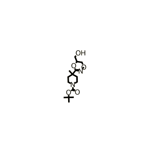 CC(C)(C)OC(=O)N1CCC(C)(C2=NOCC(CO)O2)CC1